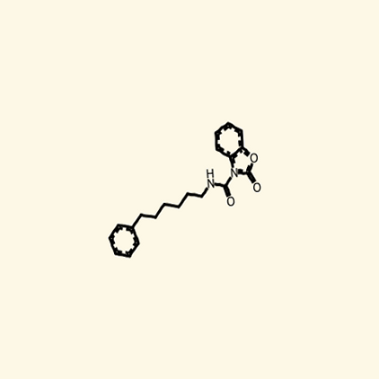 O=C(NCCCCCCc1ccccc1)n1c(=O)oc2ccccc21